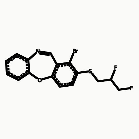 FCC(F)CSc1ccc2c(c1Br)C=Nc1ccccc1O2